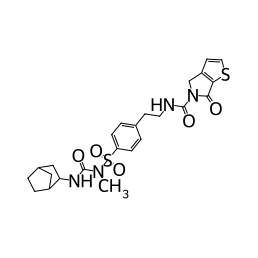 CN(C(=O)NC1CC2CCC1C2)S(=O)(=O)c1ccc(CCNC(=O)N2Cc3ccsc3C2=O)cc1